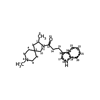 CC1CC2(CCN(C)CC2)CN1C(=O)CCc1c[nH]c2ccccc12